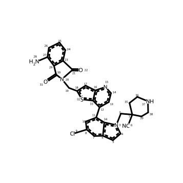 N#CC1(Cn2ccc3cc(Cl)cc(-c4ccnc5cc(CN6C(=O)c7cccc(N)c7C6=O)sc45)c32)CCNCC1